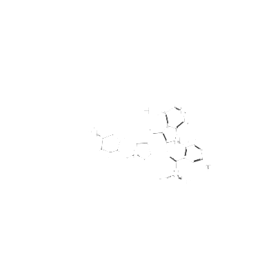 Cc1cncc2c1c(C[C@@H]1CCN(CC3CCC(O)CC3)C1)cn2-c1ccc(F)cc1C(=O)N(C)C(C)C